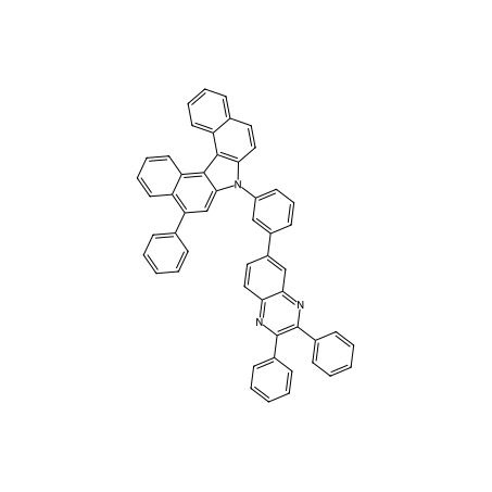 c1ccc(-c2nc3ccc(-c4cccc(-n5c6ccc7ccccc7c6c6c7ccccc7c(-c7ccccc7)cc65)c4)cc3nc2-c2ccccc2)cc1